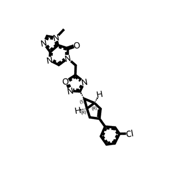 Cn1cnc2ncn(Cc3nc([C@@H]4[C@H]5C=C(c6cccc(Cl)c6)C[C@H]54)no3)c(=O)c21